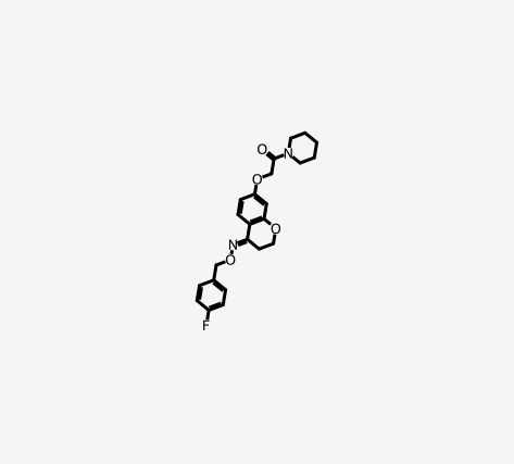 O=C(COc1ccc2c(c1)OCCC2=NOCc1ccc(F)cc1)N1CCCCC1